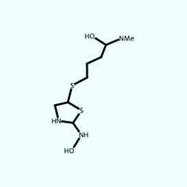 CNC(O)CCCSC1CNC(NO)S1